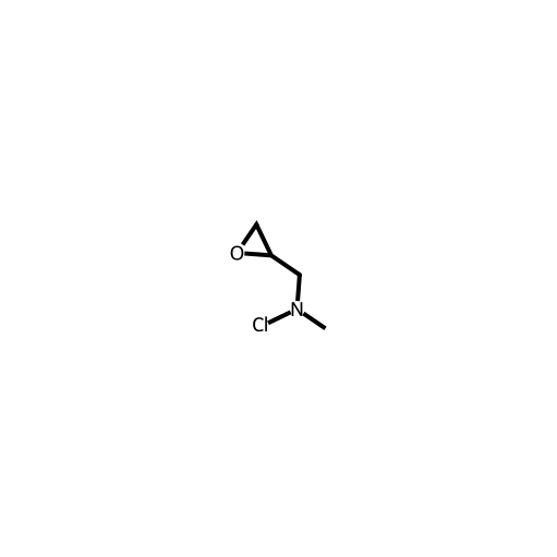 CN(Cl)CC1CO1